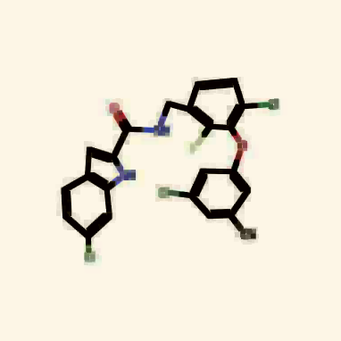 N#Cc1cc(Cl)cc(Oc2c(Cl)ccc(CNC(=O)c3cc4ccc(Cl)cc4[nH]3)c2F)c1